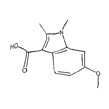 COc1ccc2c(C(=O)O)c(C)n(C)c2c1